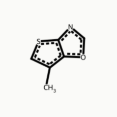 Cc1csc2ncoc12